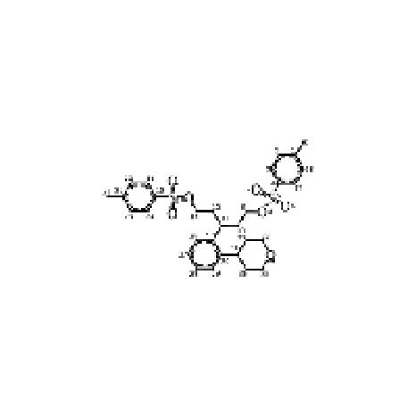 Cc1ccc(S(=O)(=O)OCCC(CCOS(=O)(=O)c2ccc(C)cc2)c2ccccc2C2CCOCC2)cc1